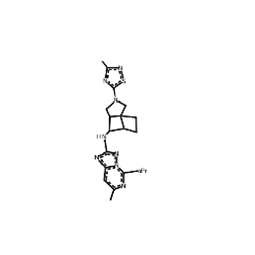 CCCc1nc(C)cc2nc(NC3C4CCC45CN(c4nc(C)ns4)CC35)nn12